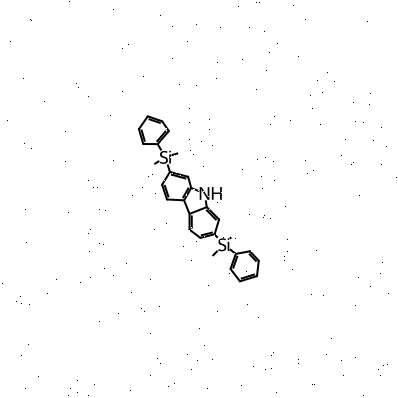 C[Si](C)(c1ccccc1)c1ccc2c(c1)[nH]c1cc([Si](C)(C)c3ccccc3)ccc12